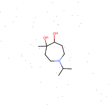 CC(C)N1CCC(O)C(C)(O)CC1